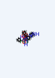 Cl.O=S(=O)(/C=C/c1ccccc1)Nc1ccc(N2CCCNCC2)cc1NS(=O)(=O)c1ccccc1